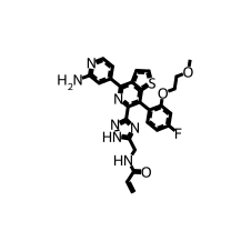 C=CC(=O)NCc1nc(-c2nc(-c3ccnc(N)c3)c3ccsc3c2-c2ccc(F)cc2OCCOC)n[nH]1